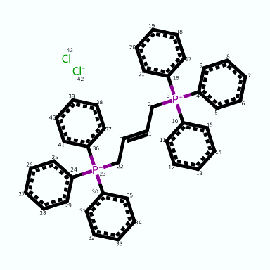 C(=CC[P+](c1ccccc1)(c1ccccc1)c1ccccc1)C[P+](c1ccccc1)(c1ccccc1)c1ccccc1.[Cl-].[Cl-]